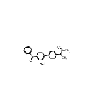 CC(c1ccc(-c2ccc(C(=O)c3ccccc3)cc2)cc1)N(C)C.Cl